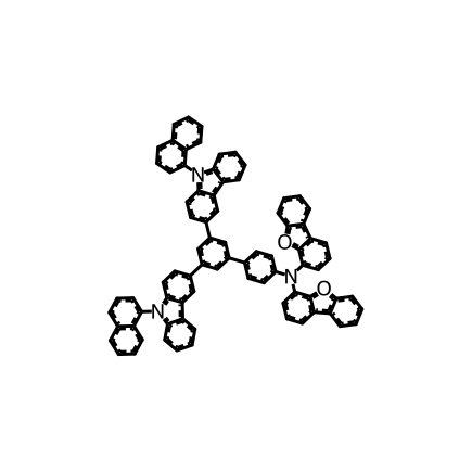 c1ccc2c(-n3c4ccccc4c4cc(-c5cc(-c6ccc(N(c7cccc8c7oc7ccccc78)c7cccc8c7oc7ccccc78)cc6)cc(-c6ccc7c(c6)c6ccccc6n7-c6cccc7ccccc67)c5)ccc43)cccc2c1